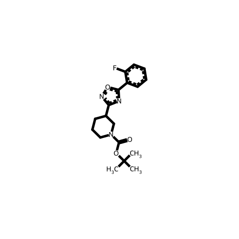 CC(C)(C)OC(=O)N1CCCC(c2noc(-c3ccccc3F)n2)C1